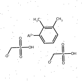 Cc1ccc[c]([Al+2])c1C.O=S(=O)(O)C[O-].O=S(=O)(O)C[O-]